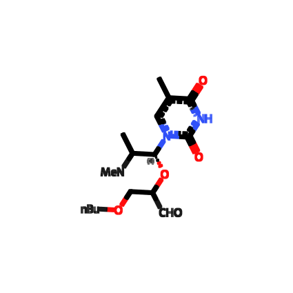 CCCCOCC(C=O)O[C@H](C(C)NC)n1cc(C)c(=O)[nH]c1=O